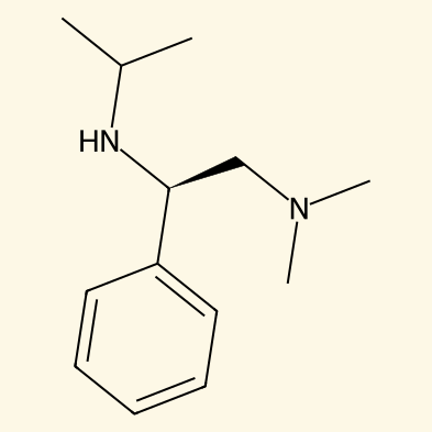 CC(C)N[C@@H](CN(C)C)c1ccccc1